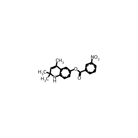 CC1=CC(C)(C)Nc2ccc(OC(=O)c3cccc([N+](=O)[O-])c3)cc21